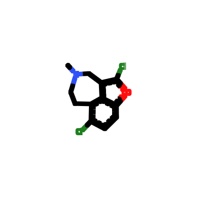 CN1CCc2c(Cl)ccc3oc(Cl)c(c23)C1